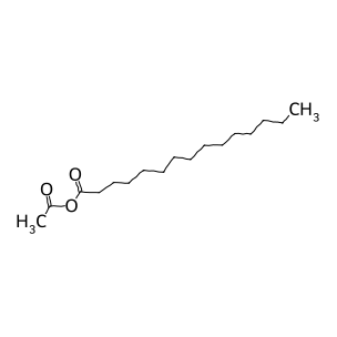 CCCCCCCCCCCCCCC(=O)OC(C)=O